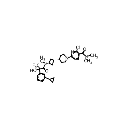 CN(C)C(=O)c1ccc(N2CCC([C@H]3C[C@H](N(C)C(=O)C(O)(c4cccc(C5CC5)c4)C(F)(F)F)C3)CC2)nc1Cl